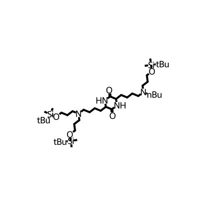 CCCCN(CCCCC1NC(=O)C(CCCCN(CCCO[Si](C)(C)C(C)(C)C)CCCO[Si](C)(C)C(C)(C)C)NC1=O)CCCO[Si](C)(C)C(C)(C)C